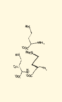 CSCCC(N)C(=O)[O-].CSCCC(N)C(=O)[O-].CSCCC(N)C(=O)[O-].[Cr+3]